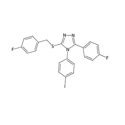 Fc1ccc(CSc2nnc(-c3ccc(F)cc3)n2-c2ccc(I)cc2)cc1